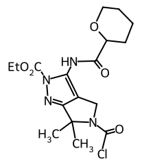 CCOC(=O)n1nc2c(c1NC(=O)C1CCCCO1)CN(C(=O)Cl)C2(C)C